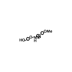 COc1ccc(-c2ccc(NCCOc3ccc(CO)cc3)nn2)cc1